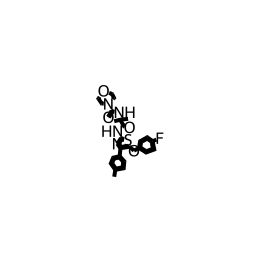 Cc1ccc(-c2nc(NC(=O)C(C)(C)NC(=O)N3CCOCC3)sc2Oc2ccc(F)cc2)cc1